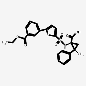 CCOC(=O)c1cccc(-c2ccc(S(=O)(=O)N[C@@]3(C(=O)O)C[C@@]3(C)c3ccccc3)s2)c1